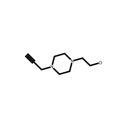 C#CCN1CCN(CC[O])CC1